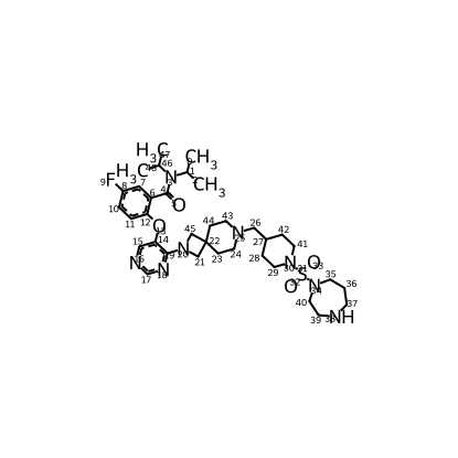 CC(C)N(C(=O)c1cc(F)ccc1Oc1cncnc1N1CC2(CCN(CC3CCN(S(=O)(=O)N4CCCNCC4)CC3)CC2)C1)C(C)C